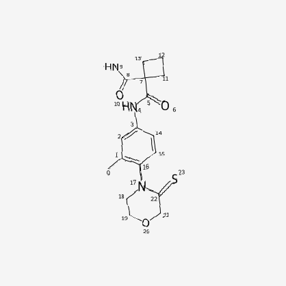 Cc1cc(NC(=O)C2(C([NH])=O)CCC2)ccc1N1CCOCC1=S